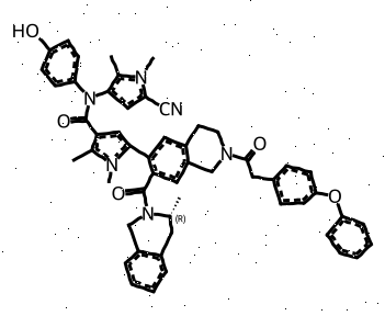 Cc1c(N(C(=O)c2cc(-c3cc4c(cc3C(=O)N3Cc5ccccc5C[C@H]3C)CN(C(=O)Cc3ccc(Oc5ccccc5)cc3)CC4)n(C)c2C)c2ccc(O)cc2)cc(C#N)n1C